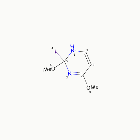 COC1=NC(I)(OC)NC=C1